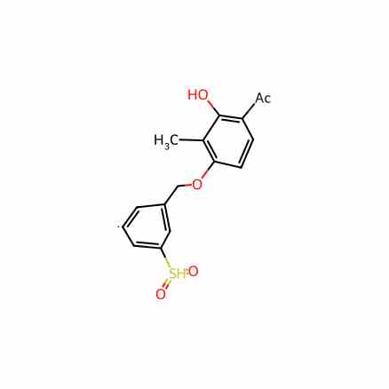 CC(=O)c1ccc(OCc2c[c]cc([SH](=O)=O)c2)c(C)c1O